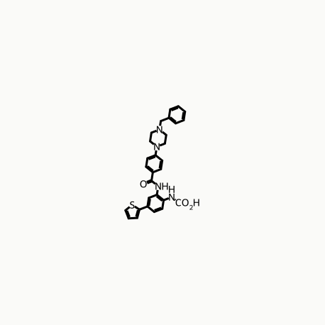 O=C(O)Nc1ccc(-c2cccs2)cc1NC(=O)c1ccc(N2CCN(Cc3ccccc3)CC2)cc1